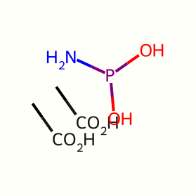 CC(=O)O.CC(=O)O.NP(O)O